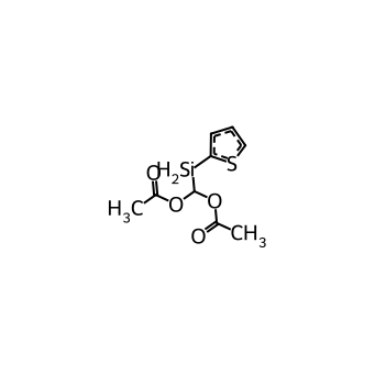 CC(=O)OC(OC(C)=O)[SiH2]c1cccs1